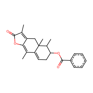 CC1=C2CC3(C)C(=CCC(OC(=O)c4ccccc4)C3C)C(C)=C2OC1=O